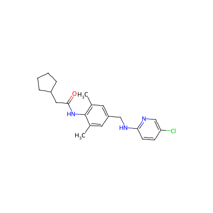 Cc1cc(CNc2ccc(Cl)cn2)cc(C)c1NC(=O)CC1CCCC1